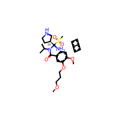 COCCCOc1cc(C(=O)N(C(C)C)C(N)([C@H]2CCNC2)S(C)(=O)=O)ccc1OC.c1cc2ccc1-2